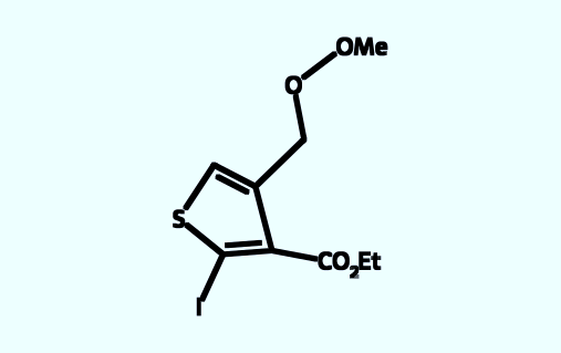 CCOC(=O)c1c(COOC)csc1I